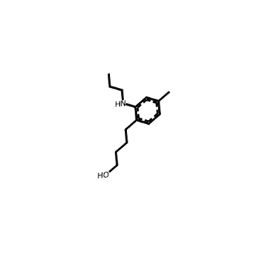 CCCNc1cc(C)ccc1CCCCO